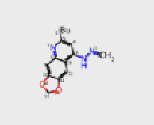 C=NNc1cc(C(C)CC)nc2cc3c(cc12)OCO3